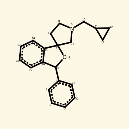 c1ccc(C2OC3(CCN(CC4CC4)C3)c3ccccc32)cc1